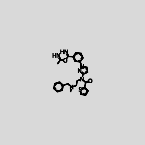 CC(=N)OC(=N)c1cccc(-n2ccc(N(CCN(C)Cc3ccccc3)C(=O)c3cccs3)n2)c1